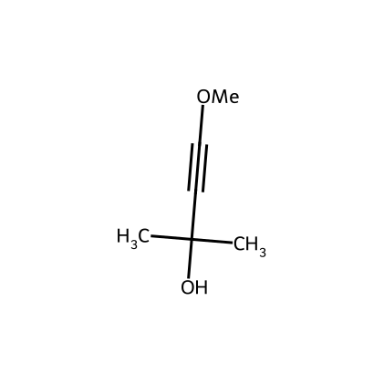 COC#CC(C)(C)O